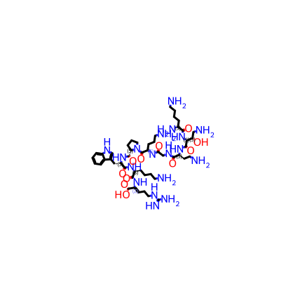 N=C(N)NCC/C=C(\NC(=O)[C@H](CCCCN)NC(=O)[C@H](Cc1c[nH]c2ccccc12)NC(=O)[C@@H]1CCCN1C(=O)/C(CCCN)=N/C(=O)CNC(=O)[C@H](CCN)NC(=O)[C@@H](NC(=O)[C@@H](N)CCCCN)[C@@H](O)CN)C(=O)O